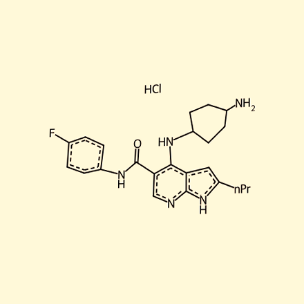 CCCc1cc2c(NC3CCC(N)CC3)c(C(=O)Nc3ccc(F)cc3)cnc2[nH]1.Cl